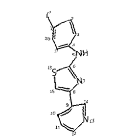 Ic1ccc(Nc2nc(-c3cccnc3)cs2)cc1